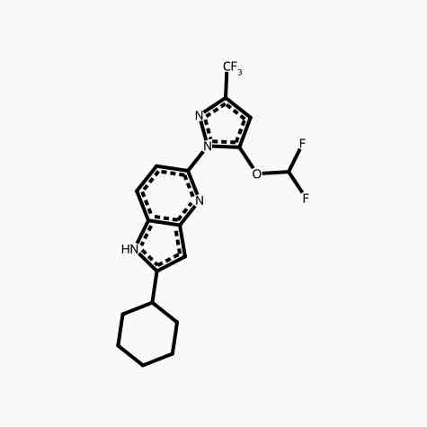 FC(F)Oc1cc(C(F)(F)F)nn1-c1ccc2[nH]c(C3CCCCC3)cc2n1